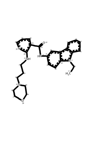 CCn1c2ccccc2c2cc(NC(=O)c3cccnc3NCCCN3CCOCC3)ccc21